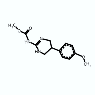 COC(=O)NC1=NCC(c2ccc(OC)cc2)CN1